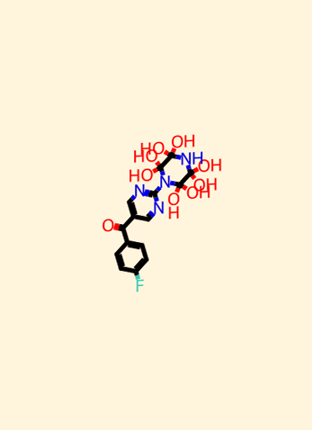 O=C(c1ccc(F)cc1)c1cnc(N2C(O)(O)C(O)(O)NC(O)(O)C2(O)O)nc1